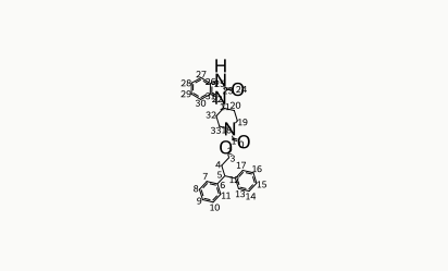 O=C(OCCC(c1ccccc1)c1ccccc1)N1CCC(n2c(=O)[nH]c3ccccc32)CC1